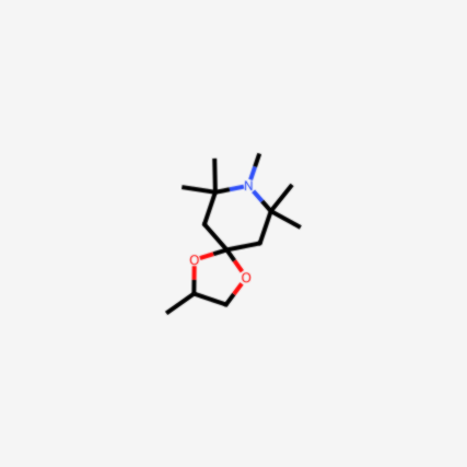 CC1COC2(CC(C)(C)N(C)C(C)(C)C2)O1